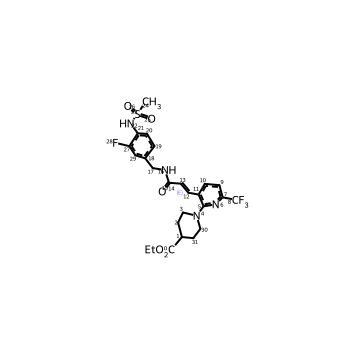 CCOC(=O)C1CCN(c2nc(C(F)(F)F)ccc2/C=C/C(=O)NCc2ccc(NS(C)(=O)=O)c(F)c2)CC1